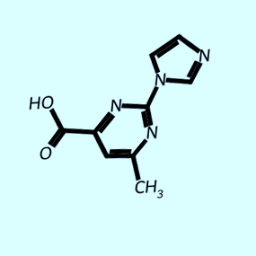 Cc1cc(C(=O)O)nc(-n2ccnc2)n1